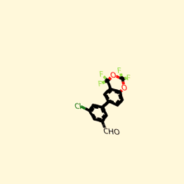 O=Cc1cc(Cl)cc(-c2ccc3c(c2)C(F)(F)OC(F)(F)O3)c1